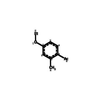 CCOc1ccc(C(C)=O)c(C)c1